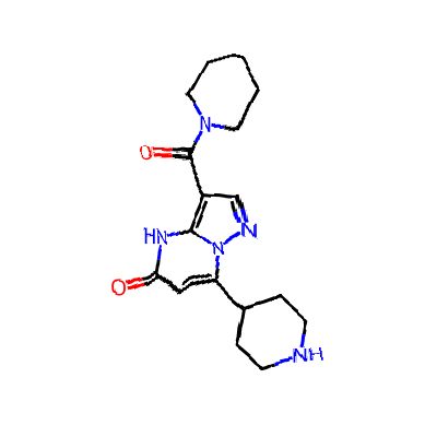 O=C(c1cnn2c(C3CCNCC3)cc(=O)[nH]c12)N1CCCCC1